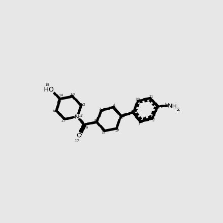 Nc1ccc(C2CCC(C(=O)N3CCC(O)CC3)CC2)cc1